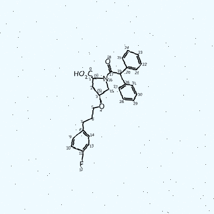 O=C(O)[C@@H]1C[C@H](OCCCc2ccc(F)cc2)CN1C(=O)C(c1ccccc1)c1ccccc1